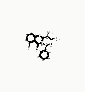 CC[C@H](N)c1nc2cccc(F)c2c(=O)n1N(C)c1ccccc1